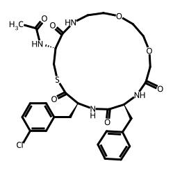 CC(=O)N[C@H]1CSC(=O)[C@H](Cc2cccc(Cl)c2)NC(=O)[C@H](Cc2ccccc2)NC(=O)COCCOCCNC1=O